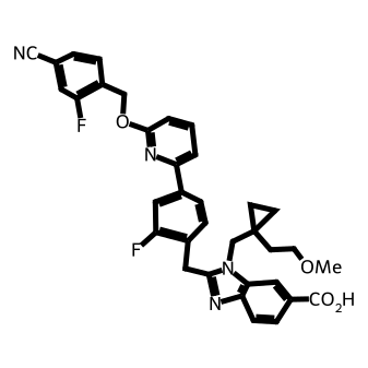 COCCC1(Cn2c(Cc3ccc(-c4cccc(OCc5ccc(C#N)cc5F)n4)cc3F)nc3ccc(C(=O)O)cc32)CC1